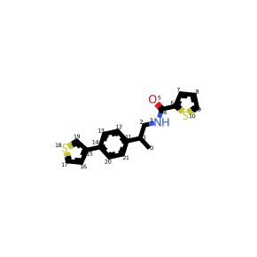 CC(CNC(=O)c1cccs1)c1ccc(-c2ccsc2)cc1